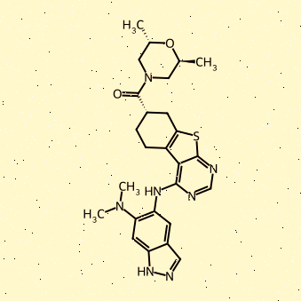 C[C@H]1CN(C(=O)[C@H]2CCc3c(sc4ncnc(Nc5cc6cn[nH]c6cc5N(C)C)c34)C2)C[C@H](C)O1